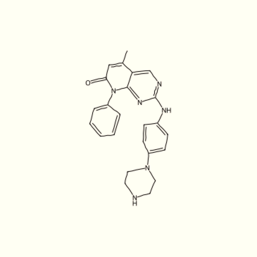 Cc1cc(=O)n(-c2ccccc2)c2nc(Nc3ccc(N4CCNCC4)cc3)ncc12